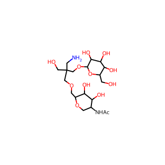 CC(=O)NC1COC(COCC(CN)(CO)COC2OC(CO)C(O)C(O)C2O)C(O)C1O